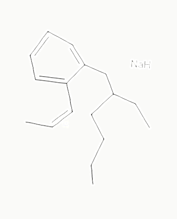 C/C=C\c1ccccc1CC(CC)CCCC.[NaH]